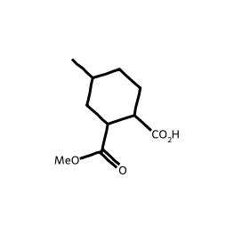 COC(=O)C1CC(C)CCC1C(=O)O